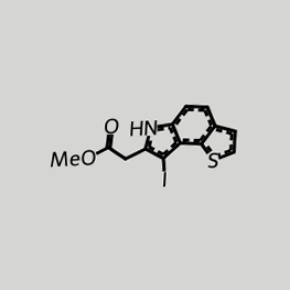 COC(=O)Cc1[nH]c2ccc3ccsc3c2c1I